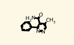 Cc1cnnc(-c2ccccc2)c1C(N)=O